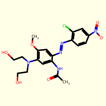 COc1cc(/N=N/c2ccc([N+](=O)[O-])cc2Cl)c(NC(C)=O)cc1N(CCO)CCO